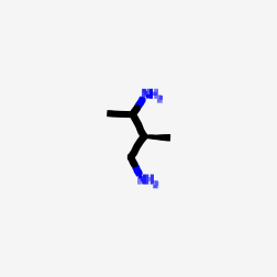 CC(N)[C@@H](C)CN